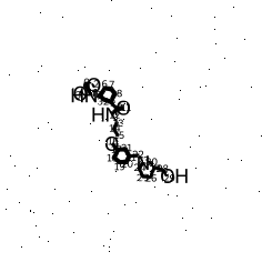 CS(=O)(=O)Nc1cccc(C(=O)NCCCOc2cccc(CN3CCCC(CO)C3)c2)c1